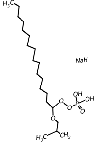 CCCCCCCCCCCCCCCC(OCC(C)C)OOP(=O)(O)O.[NaH]